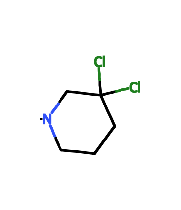 ClC1(Cl)CCC[N]C1